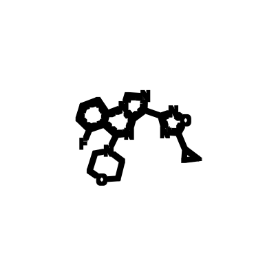 Fc1cccc2c1c(N1CCOCC1)nc1c(-c3noc(C4CC4)n3)ncn12